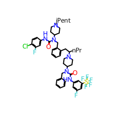 CCCC(C)N1CCC(N(Cc2ccccc2CC(CCC)N2CCC(N(Cc3ccccc3)C(=O)Nc3cc(F)cc(S(F)(F)(F)(F)F)c3)CC2)C(=O)Nc2ccc(Cl)c(F)c2)CC1